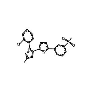 [CH2]c1cc(-c2ccc(-c3cccc(S(C)(=O)=O)c3)s2)n(-c2ccccc2Cl)n1